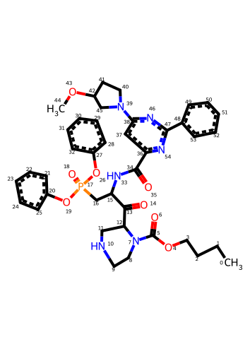 CCCCOC(=O)N1CCNCC1C(=O)C(CP(=O)(Oc1ccccc1)Oc1ccccc1)NC(=O)c1cc(N2CCC(OC)C2)nc(-c2ccccc2)n1